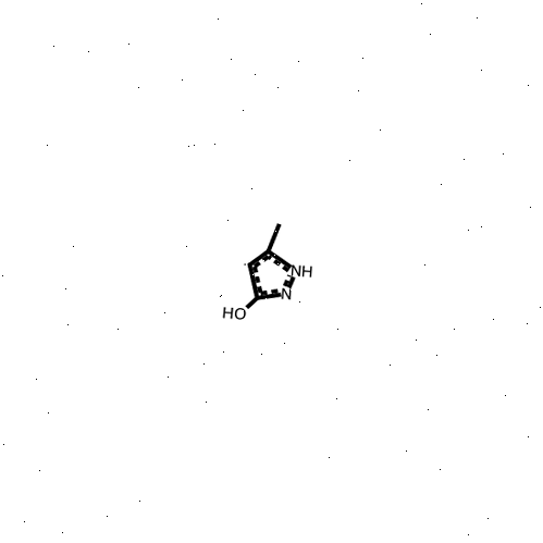 Cc1[c]c(O)n[nH]1